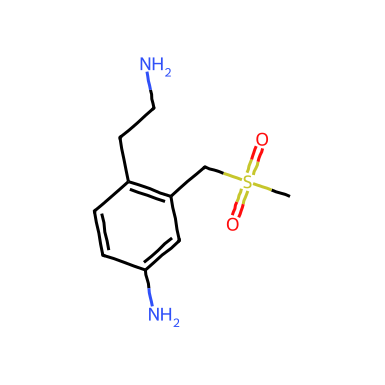 CS(=O)(=O)Cc1cc(N)ccc1CCN